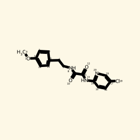 COc1ccc(CCNC(=O)C(=O)Nc2ccc(Cl)cn2)cc1